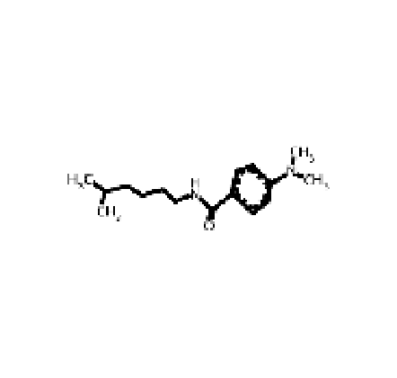 CC(C)CCCCNC(=O)c1ccc(N(C)C)cc1